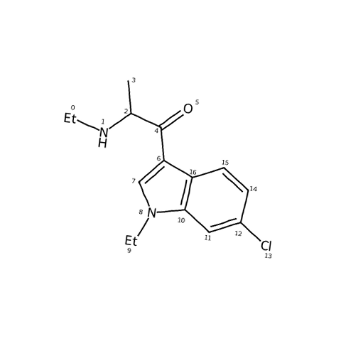 CCNC(C)C(=O)c1cn(CC)c2cc(Cl)ccc12